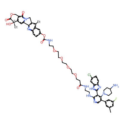 CCc1c2c(nc3ccc(OC(=O)NCCOCCOCCOCCOCCC(=O)NCCNc4ncc(-c5cc(C)cc(F)c5)c(N5CCC(N)CC5)c4-c4nc5ccc(Cl)cc5[nH]4)cc13)-c1cc3c(c(=O)n1C2)COC(=O)[C@]3(O)CC